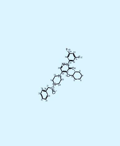 O=c1c(OC2CCCCC2)c(N2CCN([S+]([O-])Cc3ccccc3)CC2)cnn1-c1cc(F)cc(F)c1